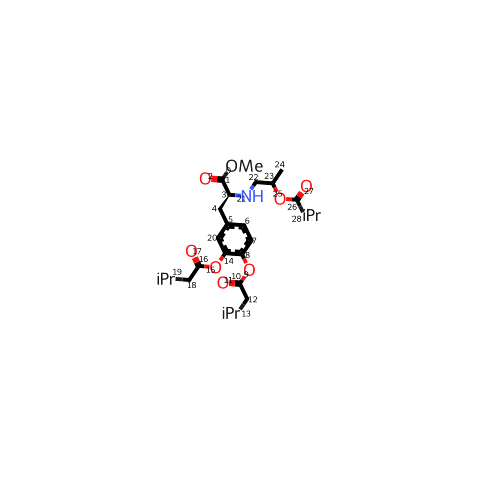 COC(=O)[C@H](Cc1ccc(OC(=O)CC(C)C)c(OC(=O)CC(C)C)c1)NCC(C)OC(=O)C(C)C